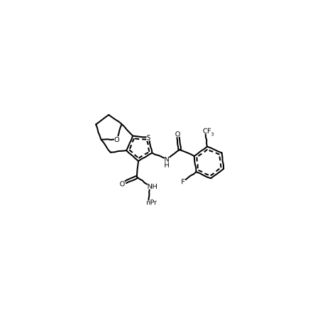 CCCNC(=O)c1c(NC(=O)c2c(F)cccc2C(F)(F)F)sc2c1CC1CCC2O1